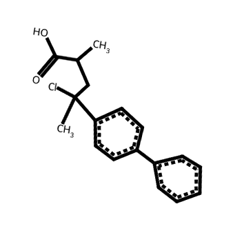 CC(CC(C)(Cl)c1ccc(-c2ccccc2)cc1)C(=O)O